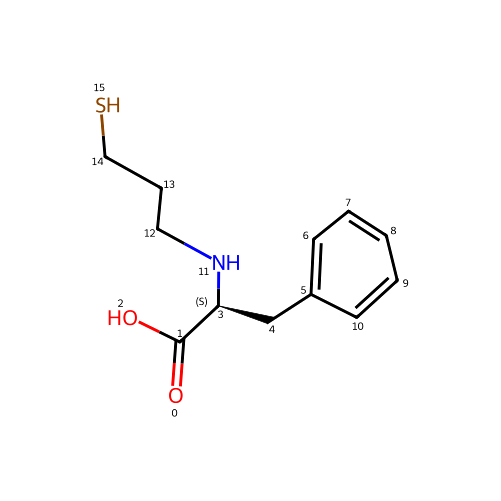 O=C(O)[C@H](Cc1ccccc1)NCCCS